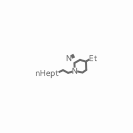 C#N.CCCCCCCCCN1CCC(CC)CC1